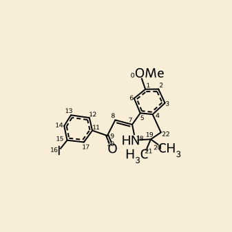 COc1ccc2c(c1)C(=CC(=O)c1cccc(I)c1)NC(C)(C)C2